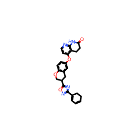 O=C1CCc2c(Oc3ccc4c(c3)CC(c3nc(C5=CC=CCC5)no3)CO4)ccnc2N1